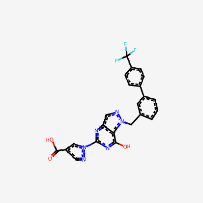 O=C(O)c1cnn(-c2nc(O)c3c(cnn3Cc3cccc(-c4ccc(C(F)(F)F)cc4)c3)n2)c1